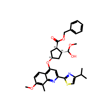 COc1ccc2c(O[C@H]3C[C@@H](C(=O)OCc4ccccc4)[C@H](C(O)OC)C3)cc(-c3nc(C(C)C)cs3)nc2c1C